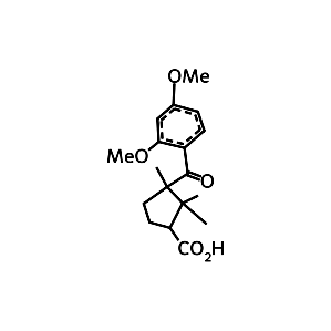 COc1ccc(C(=O)C2(C)CCC(C(=O)O)C2(C)C)c(OC)c1